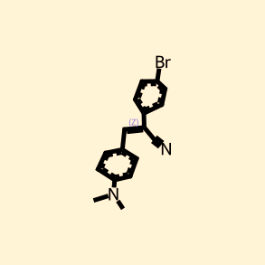 CN(C)c1ccc(/C=C(\C#N)c2ccc(Br)cc2)cc1